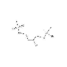 CC/C(=C/COS(C)(=O)=O)CO[Si](C)(C)C(C)(C)C